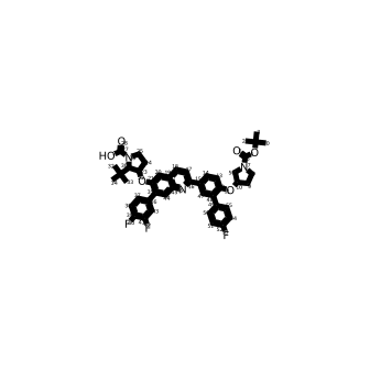 CC(C)(C)OC(=O)N1CCC(Oc2ccc(-c3ccc4cc(OC5CCN(C(=O)O)C5C(C)(C)C)c(-c5ccc(F)c(F)c5)cc4n3)cc2-c2ccc(F)cc2)C1